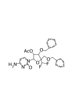 CC(=O)OC1C(n2ccc(N)nc2=O)OC(COCc2ccccc2)(C(F)F)C1OCc1ccccc1